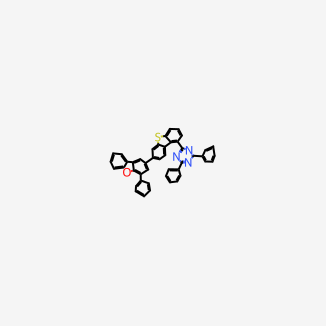 c1ccc(-c2nc(-c3ccccc3)nc(-c3cccc4sc5cc(-c6cc(-c7ccccc7)c7oc8ccccc8c7c6)ccc5c34)n2)cc1